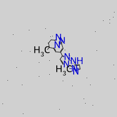 CC1CCc2nnc3cc(-c4ccnc(Nc5ccnn5C)n4)cc1n23